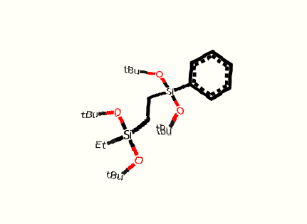 CC[Si](CC[Si](OC(C)(C)C)(OC(C)(C)C)c1ccccc1)(OC(C)(C)C)OC(C)(C)C